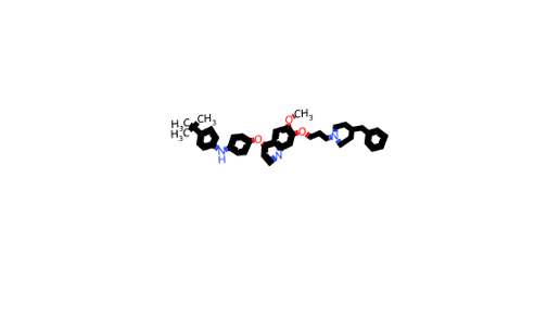 COc1cc2c(Oc3ccc(Nc4ccc(C(C)(C)C)cc4)cc3)ccnc2cc1OCCCN1CCC(Cc2ccccc2)CC1